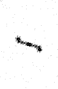 O=C(c1nc2sc(-c3nc4cc5cc6sc(-c7nc8sc(C(=O)c9c(F)c(F)c(F)c(F)c9F)nc8s7)nc6cc5cc4s3)nc2s1)c1c(F)c(F)c(F)c(F)c1F